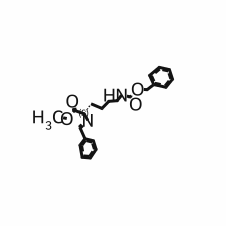 COC(=O)[C@H](CCCCNC(=O)OCc1ccccc1)N=Cc1ccccc1